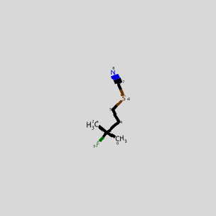 CC(C)(F)CCSC#N